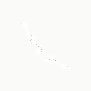 C=CC(=O)OCCCCOc1ccc(C(=O)Nc2ccc(C#Cc3ccc(-c4ccc(C#Cc5ccc(NC(=O)c6ccc(OCCCCOC(=O)C=C)cc6)c(C(F)(F)F)c5)cc4C)c(C)c3)cc2C(F)(F)F)cc1